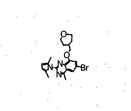 Cc1nc(-n2c(C)ccc2C)nc2c(OCC3CCOCC3)cc(Br)cc12